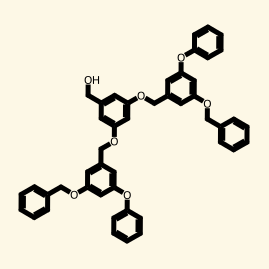 OCc1cc(OCc2cc(OCc3ccccc3)cc(Oc3ccccc3)c2)cc(OCc2cc(OCc3ccccc3)cc(Oc3ccccc3)c2)c1